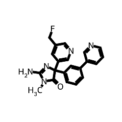 CN1C(=O)C(c2cncc(CF)c2)(c2cccc(-c3cccnc3)c2)N=C1N